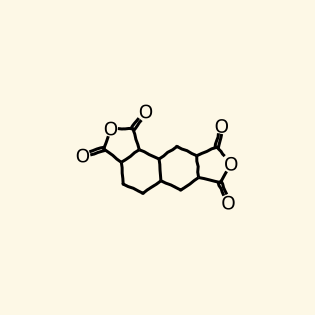 O=C1OC(=O)C2CC3C(CCC4C(=O)OC(=O)C43)CC12